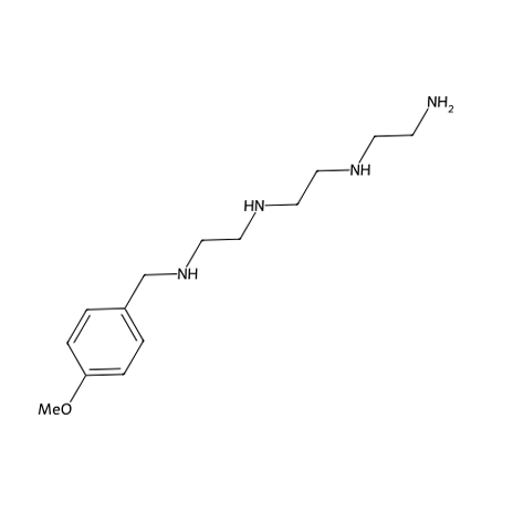 COc1ccc(CNCCNCCNCCN)cc1